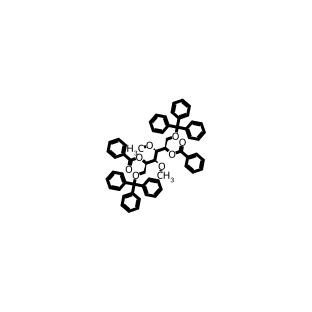 CO[C@@H]([C@H](OC)[C@@H](COC(c1ccccc1)(c1ccccc1)c1ccccc1)OC(=O)c1ccccc1)[C@@H](COC(c1ccccc1)(c1ccccc1)c1ccccc1)OC(=O)c1ccccc1